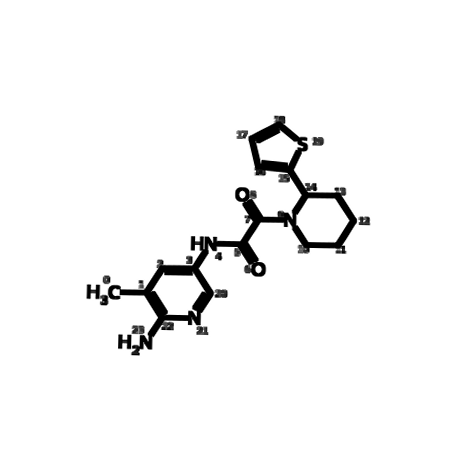 Cc1cc(NC(=O)C(=O)N2CCCCC2c2cccs2)cnc1N